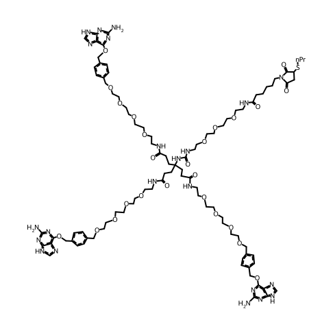 CCCSC1CC(=O)N(CCCCCC(=O)NCCOCCOCCOCCNC(=O)NC(CCC(=O)NCCOCCOCCOCCOCc2ccc(COc3nc(N)nc4[nH]cnc34)cc2)(CCC(=O)NCCOCCOCCOCCOCc2ccc(COc3nc(N)nc4[nH]cnc34)cc2)CCC(=O)NCCOCCOCCOCCOCc2ccc(COc3nc(N)nc4[nH]cnc34)cc2)C1=O